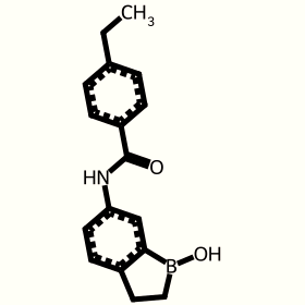 CCc1ccc(C(=O)Nc2ccc3c(c2)B(O)CC3)cc1